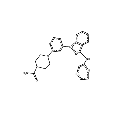 NC(=O)C1CCN(c2cc(-n3nc(Nc4cnccn4)c4ccccc43)ccn2)CC1